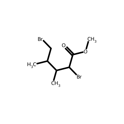 COC(=O)C(Br)C(C)C(C)CBr